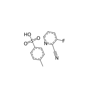 Cc1ccc(S(=O)(=O)O)cc1.N#Cc1ncccc1F